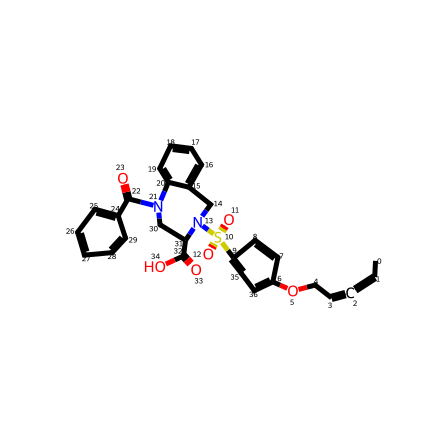 CC=C=CCOc1ccc(S(=O)(=O)N2Cc3ccccc3N(C(=O)c3ccccc3)CC2C(=O)O)cc1